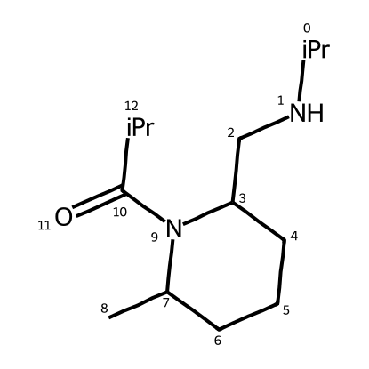 CC(C)NCC1CCCC(C)N1C(=O)C(C)C